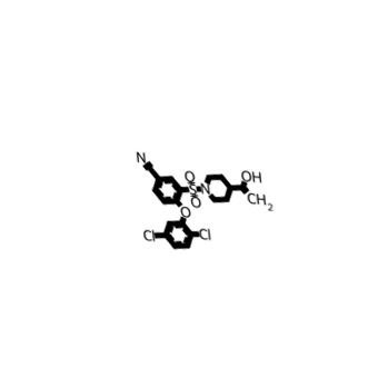 C=C(O)C1CCN(S(=O)(=O)c2cc(C#N)ccc2Oc2cc(Cl)ccc2Cl)CC1